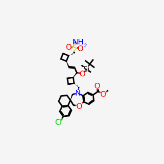 COC(=O)c1ccc2c(c1)N(C[C@@H]1CC[C@H]1C(/C=C/[C@H]1CC[C@@H]1CS(N)(=O)=O)O[Si](C)(C)C(C)(C)C)C[C@@]1(CCCc3cc(Cl)ccc31)CO2